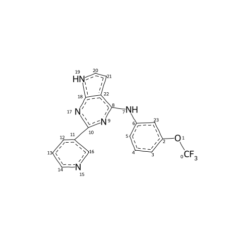 FC(F)(F)Oc1cccc(Nc2nc(-c3cccnc3)nc3[nH]ccc23)c1